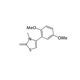 C=C1SC=C(c2cc(OC)ccc2OC)N1C